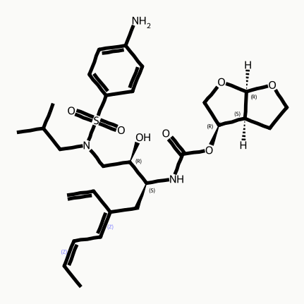 C=C/C(=C\C=C/C)C[C@H](NC(=O)O[C@H]1CO[C@H]2OCC[C@H]21)[C@H](O)CN(CC(C)C)S(=O)(=O)c1ccc(N)cc1